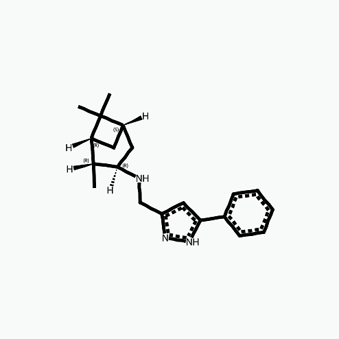 C[C@@H]1[C@H]2C[C@@H](C[C@H]1NCc1cc(-c3ccccc3)[nH]n1)C2(C)C